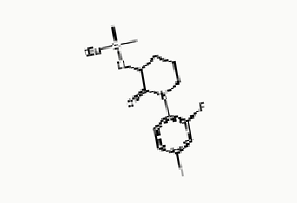 CC(C)(C)[Si](C)(C)OC1CCCN(c2ccc(I)cc2F)C1=O